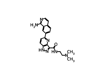 CN(C)CCNC(=O)c1n[nH]c2ccc(-c3ccc4ccnc(N)c4c3)nc12